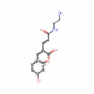 NCCNC(=O)/C=C/c1cc2ccc(O)cc2oc1=O